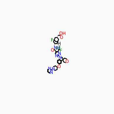 O=C(O)C[C@@H]1C[C@@H]2C[C@H](CNC(=O)c3cnc(N4CC5(CCOCC5)c5cc(OC6CCN(c7ncccn7)CC6)ccc54)nc3C(F)(F)F)C[C@@](F)(C2)C1